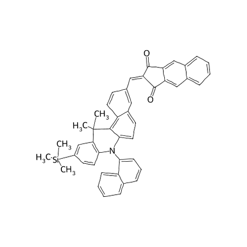 CC1(C)c2cc([Si](C)(C)C)ccc2N(c2cccc3ccccc23)c2ccc3cc(C=C4C(=O)c5cc6ccccc6cc5C4=O)ccc3c21